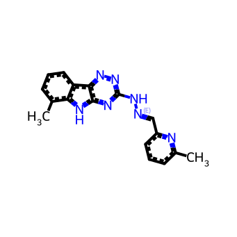 Cc1cccc(/C=N/Nc2nnc3c(n2)[nH]c2c(C)cccc23)n1